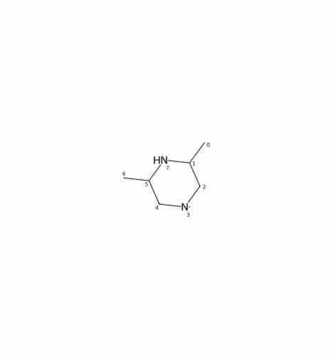 CC1C[N]CC(C)N1